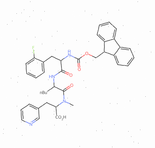 CCCCC(NC(=O)C(Cc1ccccc1F)NC(=O)OCC1c2ccccc2-c2ccccc21)C(=O)N(C)C(Cc1cccnc1)C(=O)O